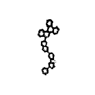 c1ccc(-c2ccc3oc4ccc(-c5ccc6ccc(-c7cc8c9ccccc9c9ccccc9c8c8ccccc78)cc6c5)cc4c3c2)cc1